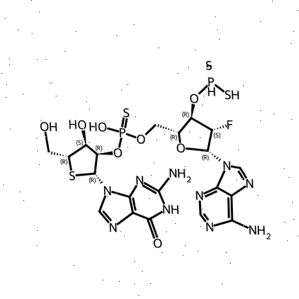 Nc1nc2c(ncn2[C@@H]2S[C@H](CO)[C@@H](O)[C@H]2OP(O)(=S)OC[C@H]2O[C@@H](n3cnc4c(N)ncnc43)[C@@H](F)[C@@H]2O[PH](=S)S)c(=O)[nH]1